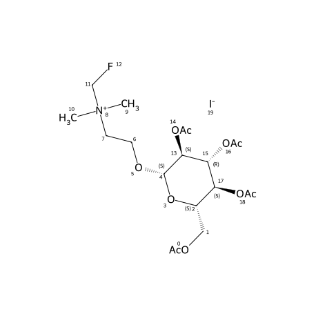 CC(=O)OC[C@@H]1O[C@H](OCC[N+](C)(C)CF)[C@@H](OC(C)=O)[C@H](OC(C)=O)[C@H]1OC(C)=O.[I-]